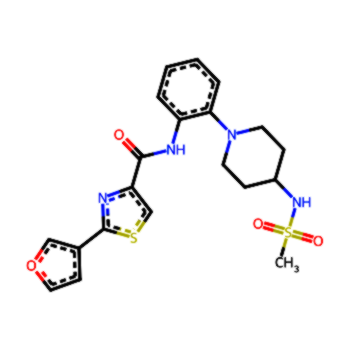 CS(=O)(=O)NC1CCN(c2ccccc2NC(=O)c2csc(-c3ccoc3)n2)CC1